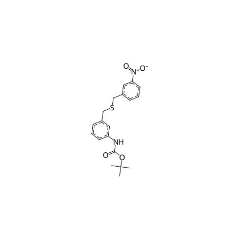 CC(C)(C)OC(=O)Nc1cccc(CSCc2cccc([N+](=O)[O-])c2)c1